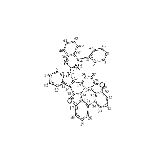 c1ccc(-c2nc(-n3c4ccccc4c4c5oc6cccc7c6c5c5c(ccc6oc8cccc-7c8c65)c43)nc3ccccc23)cc1